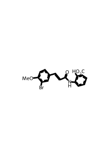 COc1ccc(C=CC(=O)Nc2ccccc2C(=O)O)cc1Br